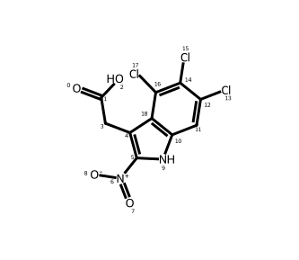 O=C(O)Cc1c([N+](=O)[O-])[nH]c2cc(Cl)c(Cl)c(Cl)c12